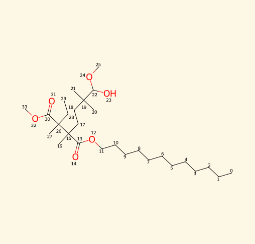 CCCCCCCCCCCCOC(=O)C(C)(CCC(C)(C)C(O)OC)C(C)(CC)C(=O)OC